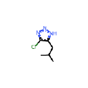 CC(C)Cc1[nH]nnc1Cl